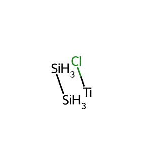 [Cl][Ti].[SiH3][SiH3]